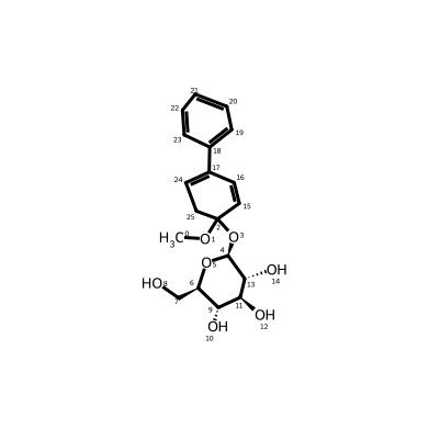 COC1(O[C@@H]2O[C@H](CO)[C@@H](O)[C@H](O)[C@H]2O)C=CC(c2ccccc2)=CC1